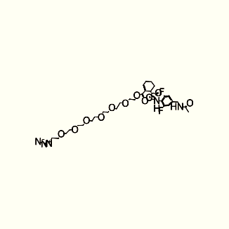 CC(=O)NCc1cc(F)c(NS(=O)(=O)C2CCCC=C2C(=O)OCCOCCOCCOCCOCCOCCOCCN=[N+]=[N-])c(F)c1